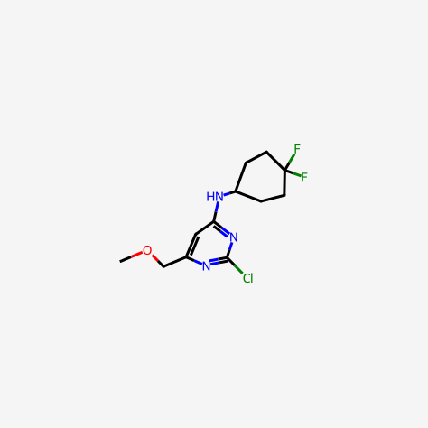 COCc1cc(NC2CCC(F)(F)CC2)nc(Cl)n1